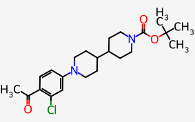 CC(=O)c1ccc(N2CCC(C3CCN(C(=O)OC(C)(C)C)CC3)CC2)cc1Cl